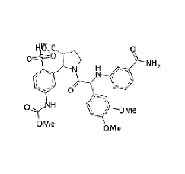 COC(=O)Nc1ccc(S(=O)(=O)C(C)C)c(C2C(C(=O)O)CCN2C(=O)C(Nc2cccc(C(N)=O)c2)c2ccc(OC)c(OC)c2)c1